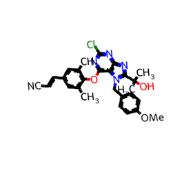 COc1ccc(Cn2c(C(C)(C)O)nc3nc(Cl)nc(Oc4c(C)cc(/C=C/C#N)cc4C)c32)cc1